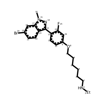 CCNCCCCCCOc1ccc(-c2nn(C)c3cc(Br)ccc23)c(F)c1